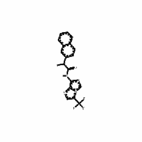 CC(C(=O)Nc1ncn2c(C(F)(F)F)csc12)c1ccc2ccccc2c1